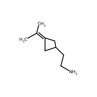 CC(C)=C1CC(CCN)C1